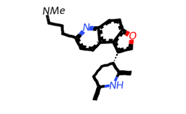 C=C1CC[C@H](c2coc3ccc4nc(CCCNC)ccc4c23)C(=C)N1